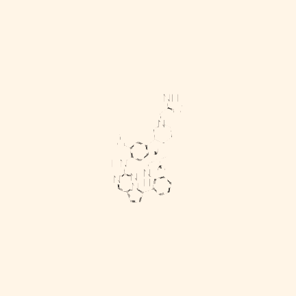 COc1cc(C2CCCN(CC(N)=O)C2)ccc1Nc1ncc2ccc(-c3ccccc3NCS(C)(=O)=O)n2n1